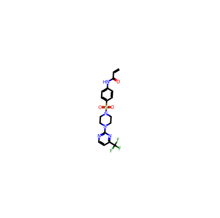 C=CC(=O)Nc1ccc(S(=O)(=O)N2CCN(c3nccc(C(F)(F)F)n3)CC2)cc1